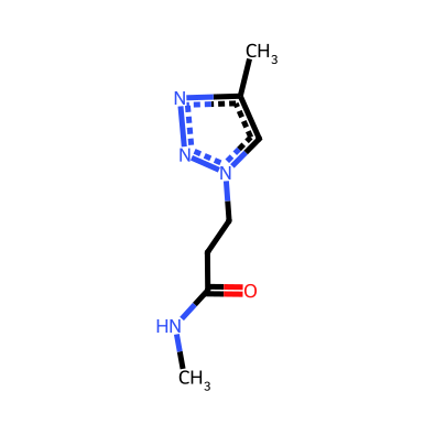 CNC(=O)CCn1cc(C)nn1